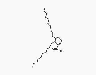 CCCCCCCCCCc1cccc(C(O)=S)c1CCCCCCCCCC